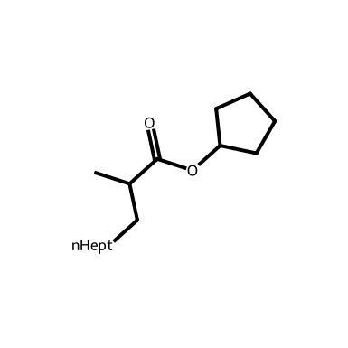 CCCCCCCCC(C)C(=O)OC1CCCC1